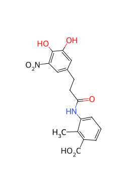 Cc1c(NC(=O)CCc2cc(O)c(O)c([N+](=O)[O-])c2)cccc1C(=O)O